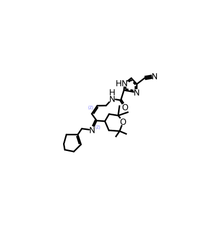 CC1(C)CC(C(/C=C\CNC(=O)c2nc(C#N)c[nH]2)=N/CC2=CCCCC2)CC(C)(C)O1